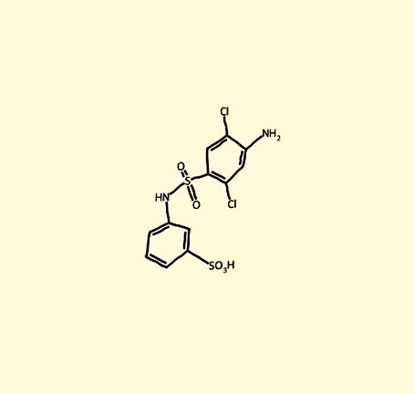 Nc1cc(Cl)c(S(=O)(=O)Nc2cccc(S(=O)(=O)O)c2)cc1Cl